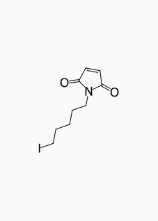 O=C1C=CC(=O)N1CCCCCI